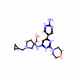 Nc1ncc(-c2cc(N[C@@]3(CO)CCN(CC4CC4)C3)nc(N3CCOCC3)n2)cn1